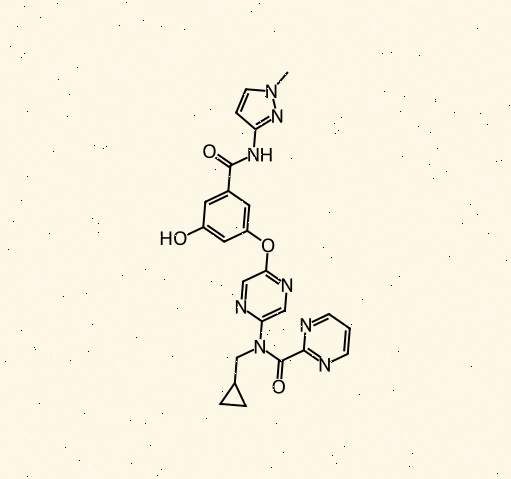 Cn1ccc(NC(=O)c2cc(O)cc(Oc3cnc(N(CC4CC4)C(=O)c4ncccn4)cn3)c2)n1